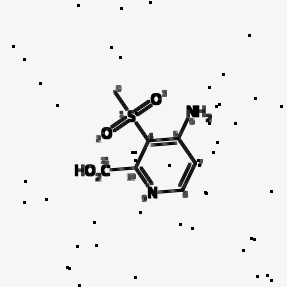 CS(=O)(=O)c1c(N)ccnc1C(=O)O